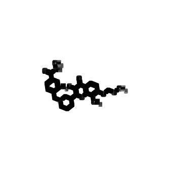 CNC(=O)c1ccc(CN2CCCC(c3oc4c(C)c(OCOC)ccc4c(=O)c3C)C2)cc1